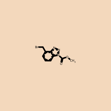 COC(=O)n1nnc2c(CBr)cccc21